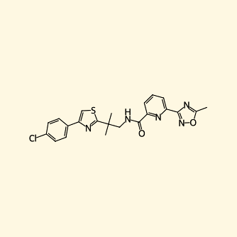 Cc1nc(-c2cccc(C(=O)NCC(C)(C)c3nc(-c4ccc(Cl)cc4)cs3)n2)no1